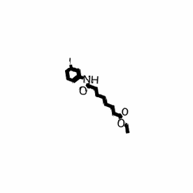 CCOC(=O)CCCCCCC(=O)Nc1cccc(I)c1